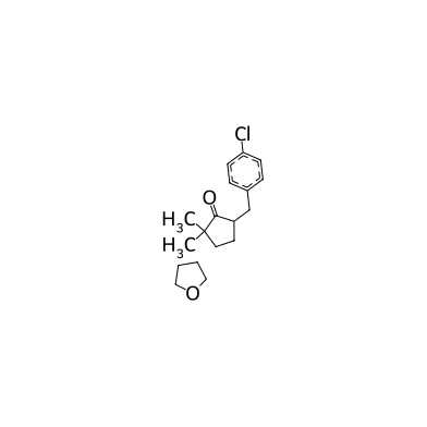 C1CCOC1.CC1(C)CCC(Cc2ccc(Cl)cc2)C1=O